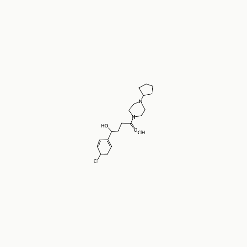 Cl.O=C(CCC(O)c1ccc(Cl)cc1)N1CCN(C2CCCC2)CC1